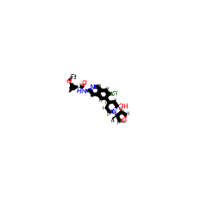 CCO[C@@H]1C[C@H]1C(=O)Nc1cc2cc(C3CCN([C@@]4(C)COC[C@H]4O)CC3)c(Cl)cc2cn1